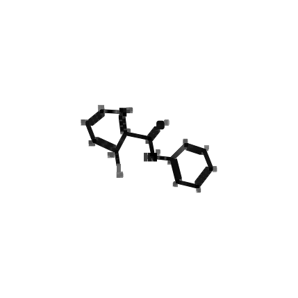 O=C(Nc1ccccc1)c1ncccc1I